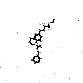 CCOC(=O)C(O)CCc1ccc2c(c1)CCCN2C(=O)OCc1ccccc1